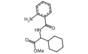 COC(=O)C(NC(=O)c1ccccc1N)C1CCCCC1